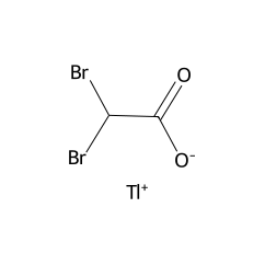 O=C([O-])C(Br)Br.[Tl+]